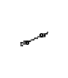 C=C=COOCCCCCCCCOOCC=C